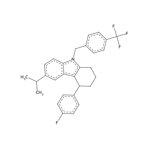 CC(C)c1ccc2c(c1)c1c(n2Cc2ccc(C(F)(F)F)cc2)[CH]CCC1c1ccc(F)cc1